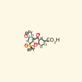 CCCOc1cc(S(=O)(=O)CCC)c2oc3ccc(C(=O)O)cc3c(=O)c2c1